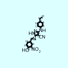 N#Cc1c(Nc2ccc(CI)cc2)n[nH]c1/N=C/c1ccc(O)c([N+](=O)[O-])c1